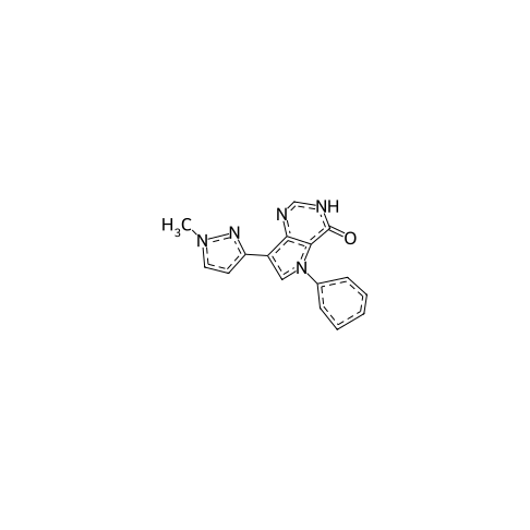 Cn1ccc(-c2cn(-c3ccccc3)c3c(=O)[nH]cnc23)n1